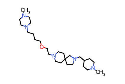 CN1CCC(CN2CCC3(CCN(CCOCCCCN4CCN(C)CC4)CC3)C2)CC1